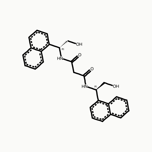 O=C(CC(=O)N[C@@H](CO)c1cccc2ccccc12)N[C@@H](CO)c1cccc2ccccc12